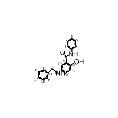 O=C(Nc1ccccc1)c1cc(NCc2ccccc2)ccc1O